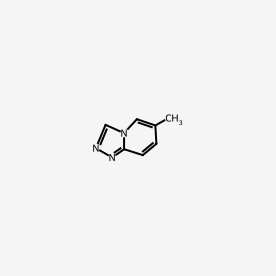 Cc1ccc2nncn2c1